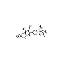 CC(C)(C)c1ccc(-c2nc3n(c(=O)c2C#N)CC2(COC2)CS3)cc1